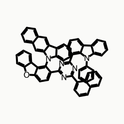 c1ccc(-n2c3ccccc3c3cccc(-c4nc(-c5ccc6oc7ccccc7c6c5-n5c6ccccc6c6cc7ccccc7cc65)nc(-c5cccc6ccccc56)n4)c32)cc1